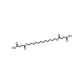 O=C(O)CCC(=O)OCCCCCCCCCCCCOC(=O)CCC(=O)O